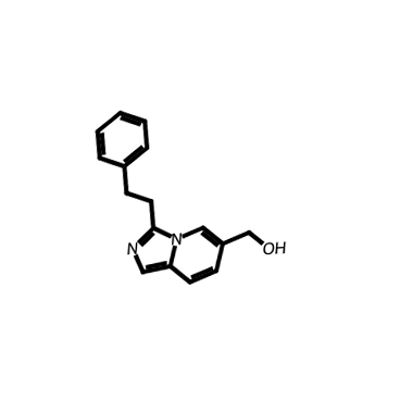 OCc1ccc2cnc(CCc3ccccc3)n2c1